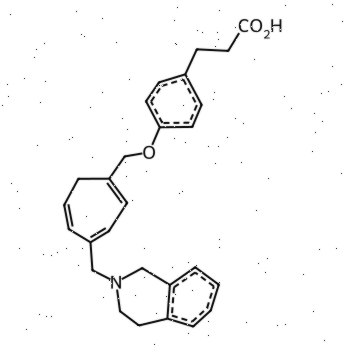 O=C(O)CCc1ccc(OCC2=CC=C(CN3CCc4ccccc4C3)C=CC2)cc1